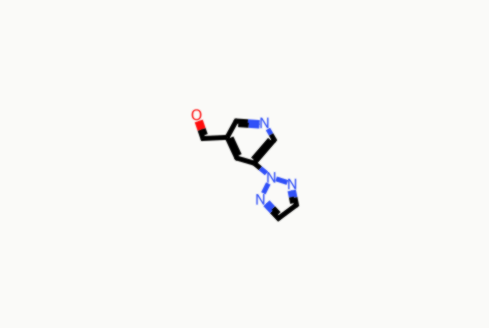 O=Cc1cncc(-n2nccn2)c1